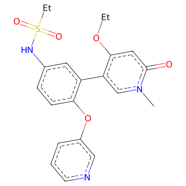 CCOc1cc(=O)n(C)cc1-c1cc(NS(=O)(=O)CC)ccc1Oc1cccnc1